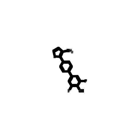 Nc1ccsc1-c1ccc(-c2cc(F)c(O)c(F)c2)cc1